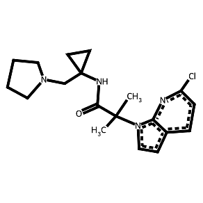 CC(C)(C(=O)NC1(CN2CCCC2)CC1)n1ccc2ccc(Cl)nc21